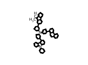 CC1(C)c2ccccc2-c2ccc(-c3cccc(N(c4ccc(-c5cccc6c5ccc5ccccc56)cc4)c4cccc(-c5cccc6c5c5ccccc5n6-c5ccccc5)c4)c3)cc21